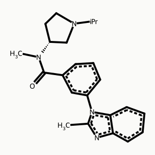 Cc1nc2ccccc2n1-c1cccc(C(=O)N(C)[C@@H]2CCN(C(C)C)C2)c1